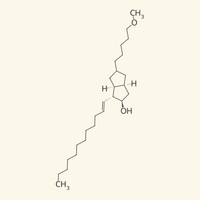 CCCCCCCCCC/C=C/[C@@H]1[C@H]2CC(CCCCCOC)C[C@H]2C[C@H]1O